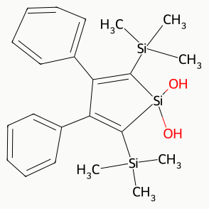 C[Si](C)(C)C1=C(c2ccccc2)C(c2ccccc2)=C([Si](C)(C)C)[Si]1(O)O